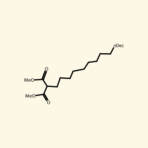 CCCCCCCCCCCCCCCCCCCC(C(=O)OC)C(=O)OC